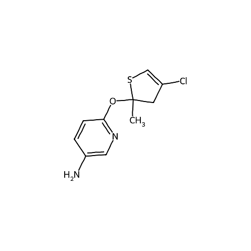 CC1(Oc2ccc(N)cn2)CC(Cl)=CS1